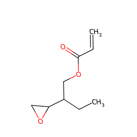 C=CC(=O)OCC(CC)C1CO1